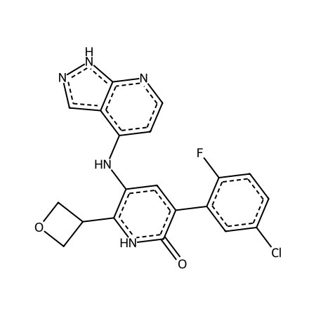 O=c1[nH]c(C2COC2)c(Nc2ccnc3[nH]ncc23)cc1-c1cc(Cl)ccc1F